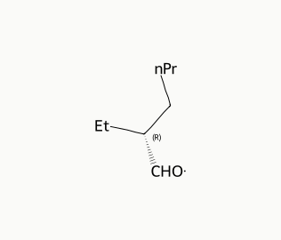 CCCC[C@H]([C]=O)CC